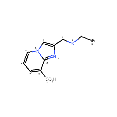 CC(C)CNCc1cn2cccc(C(=O)O)c2n1